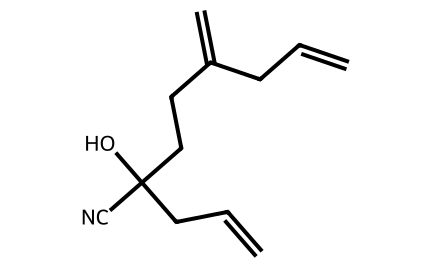 C=CCC(=C)CCC(O)(C#N)CC=C